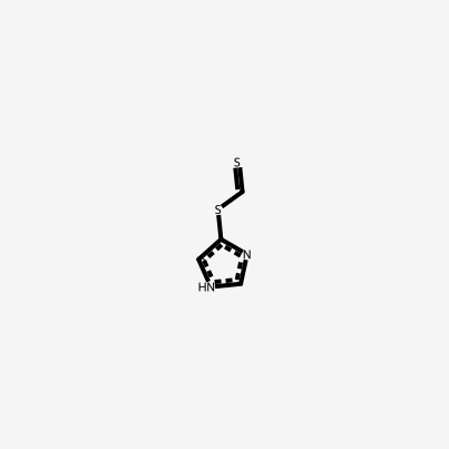 S=CSc1c[nH]cn1